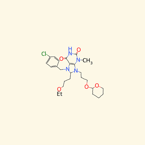 CCOCCCC1N(Cc2ccc(Cl)cc2)c2c(n(C)c(=O)[nH]c2=O)N1CCCOC1CCCCO1